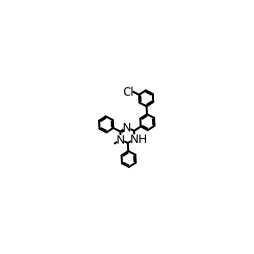 CN1C(c2ccccc2)=NC(c2cccc(-c3cccc(Cl)c3)c2)NC1c1ccccc1